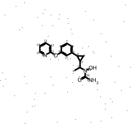 CC(C1CC1c1cccc(Oc2ccccn2)c1)N(O)C(N)=O